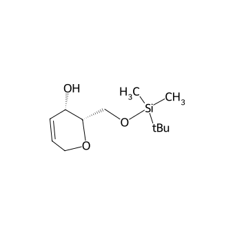 CC(C)(C)[Si](C)(C)OC[C@@H]1OCC=C[C@@H]1O